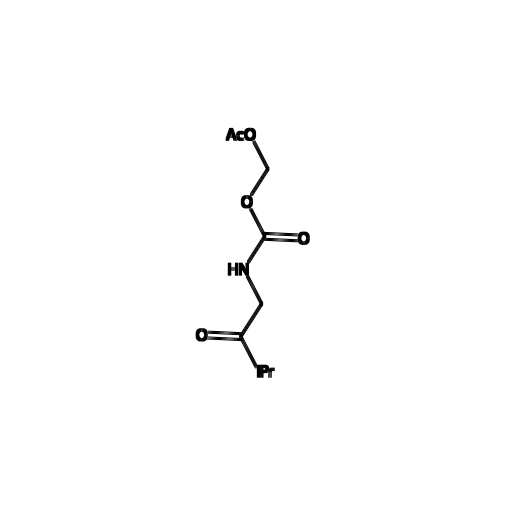 CC(=O)OCOC(=O)NCC(=O)C(C)C